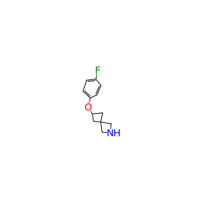 Fc1ccc(OC2CC3(CNC3)C2)cc1